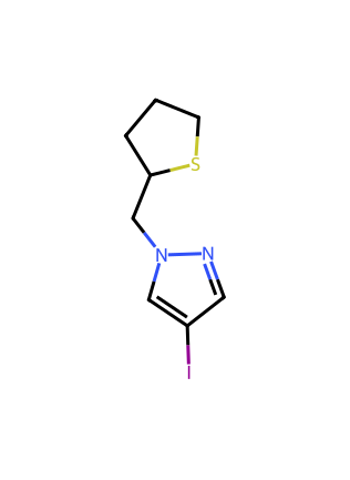 Ic1cnn(CC2CCCS2)c1